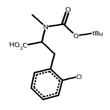 CN(C(=O)OC(C)(C)C)C(Cc1ccccc1Cl)C(=O)O